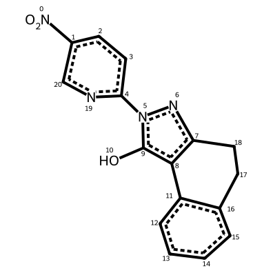 O=[N+]([O-])c1ccc(-n2nc3c(c2O)-c2ccccc2CC3)nc1